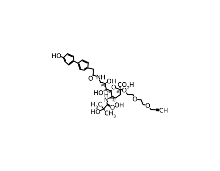 C#CCOCCOCCO[C@]1(C(=O)O)C[C@H](O)[C@@H](NC(=O)C(C)(C)O)[C@H]([C@H](O)[C@H](O)CNC(=O)Cc2ccc(-c3ccc(O)cc3)cc2)O1